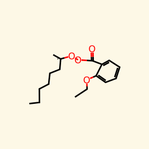 CCCCCC[C](C)OOC(=O)c1ccccc1OCC